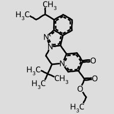 CCOC(=O)c1cn2c(cc1=O)-c1c3cccc(C(C)CC)c3nn1CC2C(C)(C)C